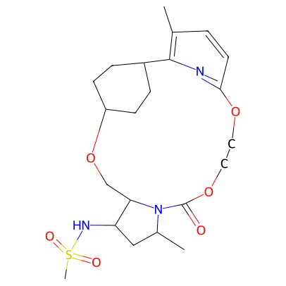 Cc1ccc2nc1C1CCC(CC1)OCC1C(NS(C)(=O)=O)CC(C)N1C(=O)OCCO2